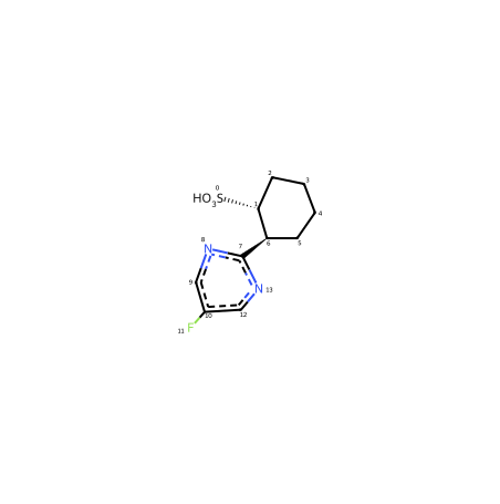 O=S(=O)(O)[C@@H]1CCCC[C@H]1c1ncc(F)cn1